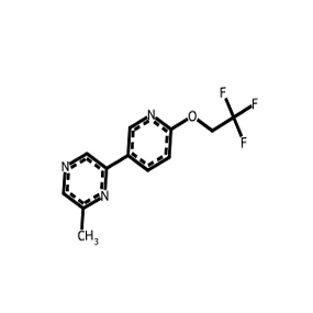 Cc1cncc(-c2ccc(OCC(F)(F)F)nc2)n1